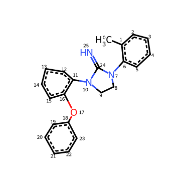 Cc1ccccc1N1CCN(c2ccccc2Oc2ccccc2)C1=N